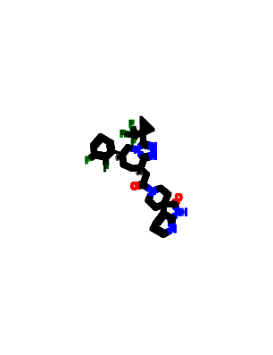 O=C(C[C@H]1CC[C@H](c2cccc(F)c2F)Cn2c1nnc2C1(C(F)(F)F)CC1)N1CCC2(CC1)C(=O)Nc1ncccc12